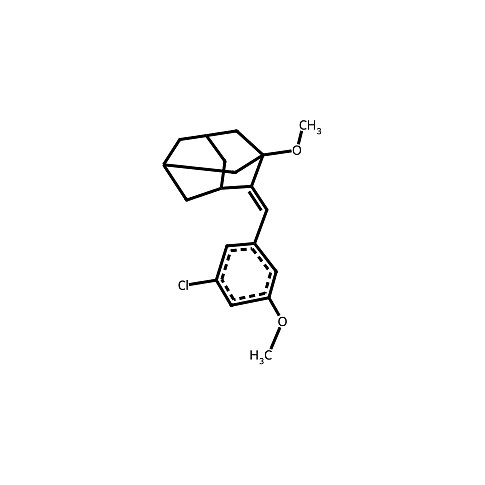 COc1cc(Cl)cc(C=C2C3CC4CC(C3)CC2(OC)C4)c1